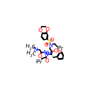 CC(C)CC(=O)N(NC(=O)CN(C)C)[C@@H](Cc1ccccc1)[C@H](O)CN(CC(C)C)S(=O)(=O)c1ccc2c(c1)OCCO2